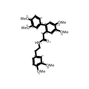 COc1ccc(CCNC(=O)Cc2cc(OC)c(OC)cc2-c2ccc(OC)c(OC)c2)cc1OC